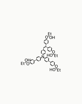 CCC(O)Oc1ccc(C(=Cc2ccc(N(c3ccc(-c4ccc(OC(O)CC)cc4)cc3)c3ccc(-c4ccc(OC(O)CC)cc4)cc3)cc2)c2ccc(OC(O)CC)cc2)cc1